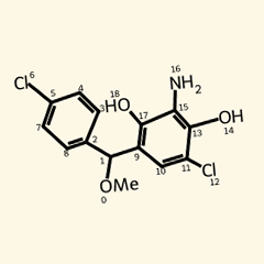 COC(c1ccc(Cl)cc1)c1cc(Cl)c(O)c(N)c1O